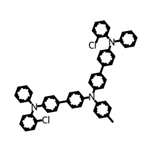 Cc1ccc(N(c2ccc(-c3ccc(N(c4ccccc4)c4ccccc4Cl)cc3)cc2)c2ccc(-c3ccc(N(c4ccccc4)c4ccccc4Cl)cc3)cc2)cc1